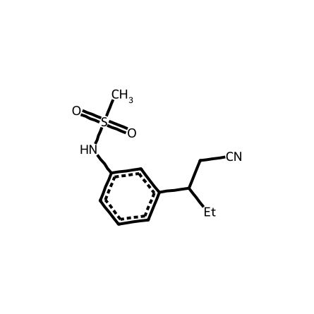 CCC(CC#N)c1cccc(NS(C)(=O)=O)c1